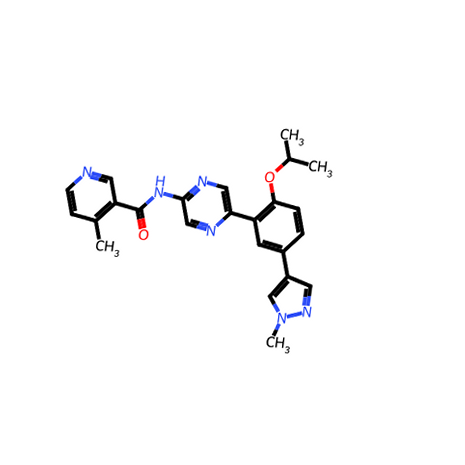 Cc1ccncc1C(=O)Nc1cnc(-c2cc(-c3cnn(C)c3)ccc2OC(C)C)cn1